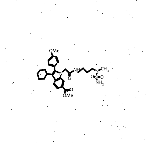 COC(=O)c1ccc2c(C3CCCCC3)c(-c3ccc(OC)cc3)n(CC(=O)NCCCCN(C)S(N)(=O)=O)c2c1